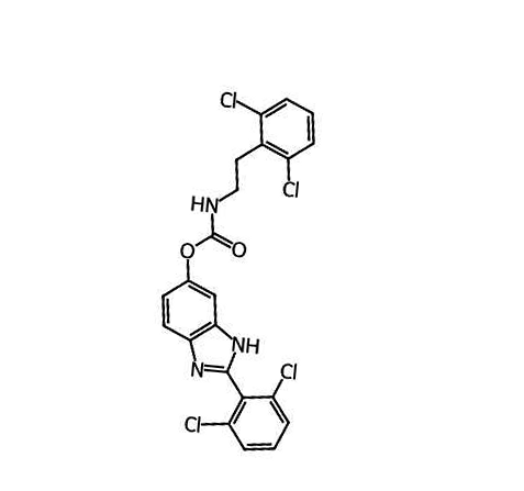 O=C(NCCc1c(Cl)cccc1Cl)Oc1ccc2nc(-c3c(Cl)cccc3Cl)[nH]c2c1